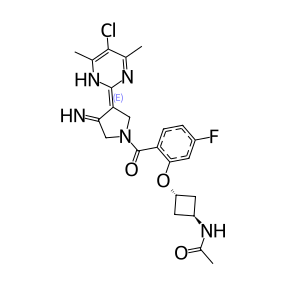 CC(=O)N[C@H]1C[C@H](Oc2cc(F)ccc2C(=O)N2CC(=N)/C(=C3/N=C(C)C(Cl)=C(C)N3)C2)C1